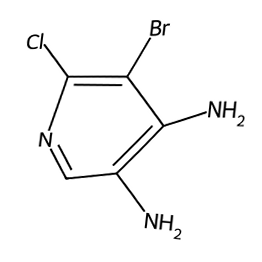 Nc1cnc(Cl)c(Br)c1N